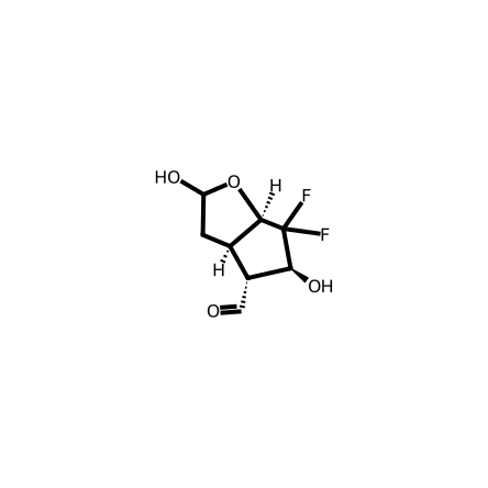 O=C[C@@H]1[C@H]2CC(O)O[C@H]2C(F)(F)[C@H]1O